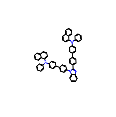 c1ccc(N(c2ccc(-c3ccc(-c4nc5ccccc5n4-c4ccc(-c5ccc(N(c6ccccc6)c6cccc7ccccc67)cc5)cc4)cc3)cc2)c2cccc3ccccc23)cc1